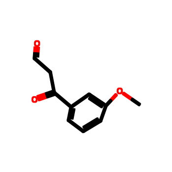 COc1cccc(C(=O)CC=O)c1